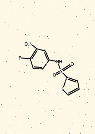 O=[N+]([O-])c1cc(NS(=O)(=O)c2cccs2)ccc1F